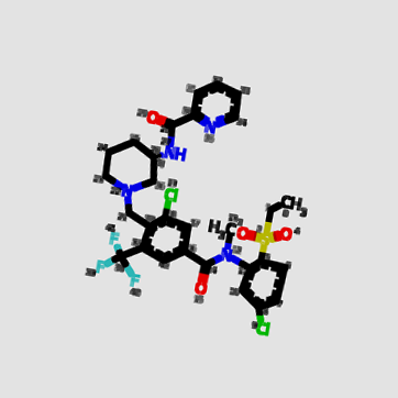 CCS(=O)(=O)c1ccc(Cl)cc1N(C)C(=O)c1cc(Cl)c(CN2CCC[C@H](NC(=O)c3ccccn3)C2)c(C(F)(F)F)c1